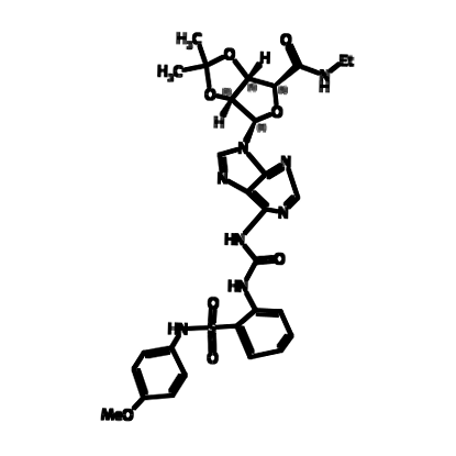 CCNC(=O)[C@H]1O[C@@H](n2cnc3c(NC(=O)Nc4ccccc4S(=O)(=O)Nc4ccc(OC)cc4)ncnc32)[C@@H]2OC(C)(C)O[C@@H]21